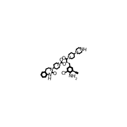 C#Cc1cc(C[C@@H](OC(=O)N2CCC(N3CCc4ccccc4NC3=O)CC2)C(=O)N2CCC(N3CCNCC3)CC2)cc(Cl)c1N